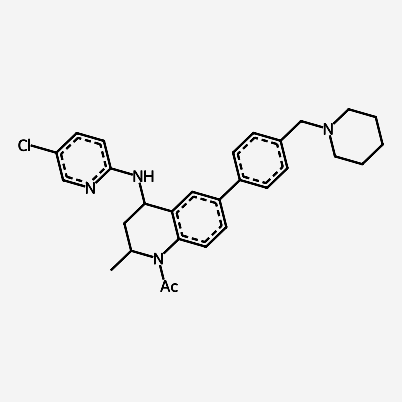 CC(=O)N1c2ccc(-c3ccc(CN4CCCCC4)cc3)cc2C(Nc2ccc(Cl)cn2)CC1C